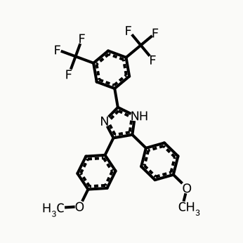 COc1ccc(-c2nc(-c3cc(C(F)(F)F)cc(C(F)(F)F)c3)[nH]c2-c2ccc(OC)cc2)cc1